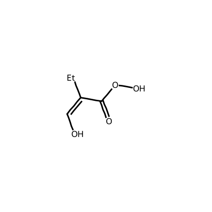 CCC(=CO)C(=O)OO